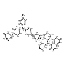 Fc1ccc(N(c2ccc(-c3ccc(-c4c5ccccc5c(-c5cccc6ccccc56)c5ccccc45)cc3)cc2)c2ccc(-c3cccnc3)cc2)cc1